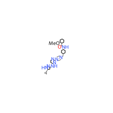 COc1ccccc1C(=O)Nc1ccc(CN2CCN(c3nccc(Nc4cc(C5CC5)[nH]n4)n3)CC2)cc1